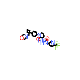 O=C(Nc1ccc(C(F)(F)F)nc1)N[C@H]1CCCN(c2ccc(C3(CN4CCOCC4)CCC3)cc2)C1=O